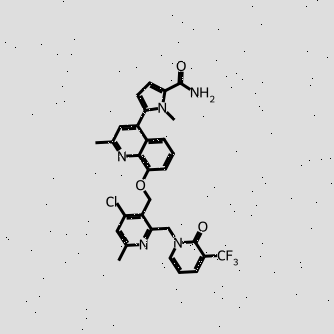 Cc1cc(Cl)c(COc2cccc3c(-c4ccc(C(N)=O)n4C)cc(C)nc23)c(Cn2cccc(C(F)(F)F)c2=O)n1